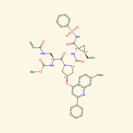 C=CC(=O)NC[C@H](NC(=O)OC(C)(C)C)C(=O)N1C[C@H](Oc2cc(-c3ccccc3)nc3cc(OC)ccc23)C[C@H]1C(=O)N[C@]1(C(=O)NS(=O)(=O)c2ccccc2)C[C@H]1C=C